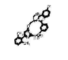 Cc1cccc(C)c1-c1cc2nc(n1)NS(=O)(=O)c1cccc(c1)C(=O)N(Cc1cccc(Br)c1)[C@H](CC(C)(C)C)CO2